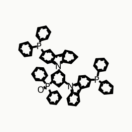 O=P(c1ccccc1)(c1ccccc1)c1cc(-n2c3ccccc3c3cc(P(c4ccccc4)c4ccccc4)ccc32)cc(-n2c3ccccc3c3cc(P(c4ccccc4)c4ccccc4)ccc32)c1